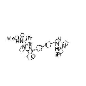 COC(=O)N[C@H](C(=O)N1CCC[C@@H]1c1[nH]c(-c2ccc(-c3ccc(-c4cnc([C@@H]5CCCN5C(=O)CC(C)C)[nH]4)cc3)cc2)c2c1CCCO2)C(C)C